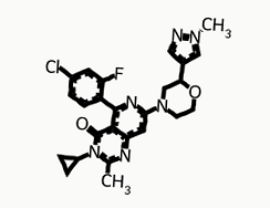 Cc1nc2cc(N3CCOC(c4cnn(C)c4)C3)nc(-c3ccc(Cl)cc3F)c2c(=O)n1C1CC1